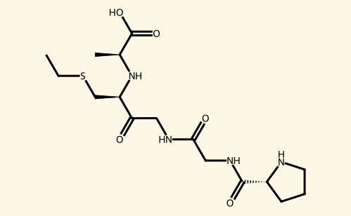 CCSC[C@@H](N[C@@H](C)C(=O)O)C(=O)CNC(=O)CNC(=O)[C@H]1CCCN1